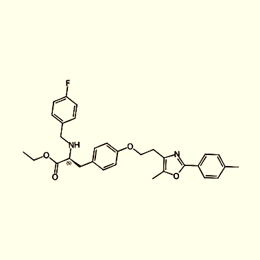 CCOC(=O)[C@H](Cc1ccc(OCCc2nc(-c3ccc(C)cc3)oc2C)cc1)NCc1ccc(F)cc1